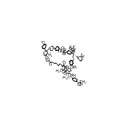 Cc1ncsc1-c1ccc([C@H](C)NC(=O)[C@@H]2C[C@@H](O)CN2C(=O)[C@@H](NC(=O)CCCCCCC(=O)N2CCN(C[C@]3(C)CCC(c4ccc(Cl)cc4)=C(CN4CCN(c5ccc(C(=O)NS(=O)(=O)c6ccc(N[C@H](CCN7CCCC(F)(F)C7)CSc7ccccc7)c(S(=O)(=O)C(F)(F)F)c6)cc5)CC4)C3)CC2)C(C)(C)C)cc1